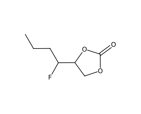 CCCC(F)C1COC(=O)O1